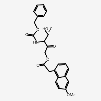 COc1ccc2c(CC(=O)OCC(=O)C(CC(=O)O)NC(=O)OCc3ccccc3)cccc2c1